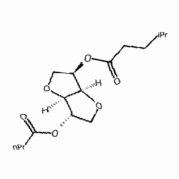 CCCC(=O)O[C@H]1CO[C@H]2[C@@H]1OC[C@H]2OC(=O)CCC(C)C